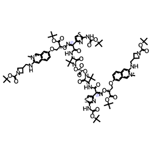 C[n+]1cc2cc(OC[C@H](O/N=C(\C(=O)N[C@@H]3C(=O)N(OS(=O)(=O)ON4C(=O)[C@@H](NC(=O)/C(=N\O[C@@H](COc5ccc6cc(NCC7CN(C(=O)OC(C)(C)C)C7)[n+](C)cc6c5)C(=O)OC(C)(C)C)c5csc(NC(=O)OC(C)(C)C)n5)C4(C)C)C3(C)C)c3csc(NC(=O)OC(C)(C)C)n3)C(=O)OC(C)(C)C)ccc2cc1NCC1CN(C(=O)OC(C)(C)C)C1